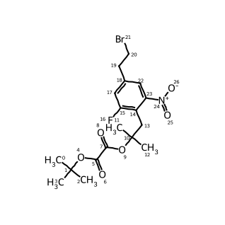 CC(C)(C)OC(=O)C(=O)OC(C)(C)Cc1c(F)cc(CCBr)cc1[N+](=O)[O-]